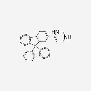 C1=C(C2=CCNCN2)C=C2C(C1)c1ccccc1C2(c1ccccc1)c1ccccc1